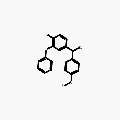 CCOc1ccc(C(CC)c2ccc(F)c(Oc3ccccc3)c2)cc1